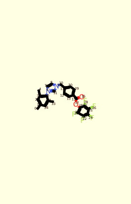 Cc1cc(C)c(-[n+]2ccn(Cc3ccc(C(=O)Oc4c(F)c(F)c(F)c(F)c4F)cc3)c2)c(C)c1